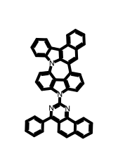 c1ccc(-c2nc(-n3c4cccc5c6cc7ccccc7c7c8ccccc8n(c8cccc3c8c54)c67)nc3c2ccc2ccccc23)cc1